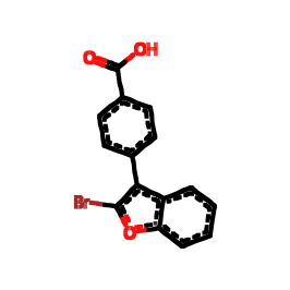 O=C(O)c1ccc(-c2c(Br)oc3ccccc23)cc1